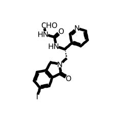 O=CNC(=O)N[C@@H](CN1Cc2ccc(I)cc2C1=O)c1cccnc1